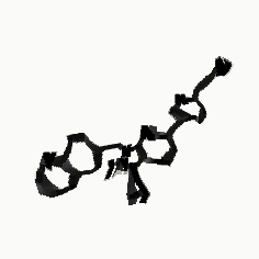 N#Cc1ccc(-c2ccc3c(n2)N(Cc2ccc4ncccc4c2)NN3)cn1